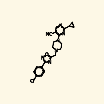 N#Cc1cnc(C2CC2)nc1N1CCN(Cc2nc(-c3ccc(Cl)cc3)no2)CC1